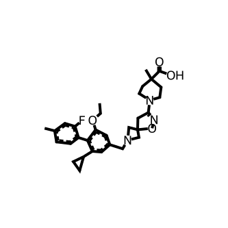 CCOc1cc(CN2CC3(CC(N4CCC(C)(C(=O)O)CC4)=NO3)C2)cc(C2CC2)c1-c1ccc(C)cc1F